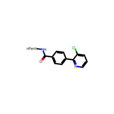 CCCCCNC(=O)c1ccc(-c2ncccc2Cl)cc1